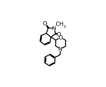 CN1C(=O)C2C=CC=CC2(C2CN(Cc3ccccc3)CCO2)C1=O